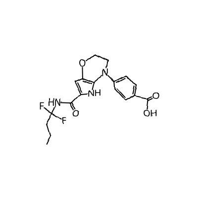 CCCC(F)(F)NC(=O)c1cc2c([nH]1)N(c1ccc(C(=O)O)cc1)CCO2